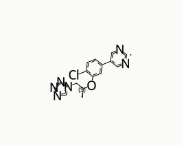 C[C@@H](Cn1cnnn1)Oc1cc(-c2cn[c]nc2)ccc1Cl